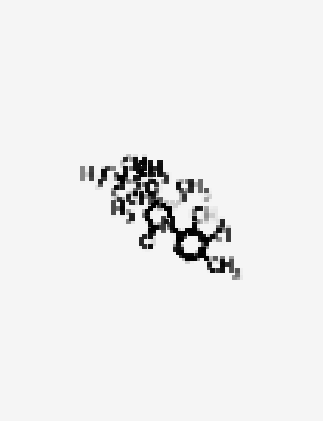 CC[C@H]1[C@H](O[Si](C)(C)C(C)(C)C)CC(=O)N1c1ccc(C)c(Cl)c1C